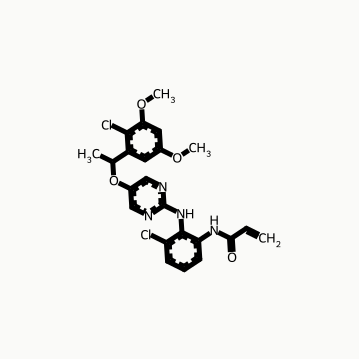 C=CC(=O)Nc1cccc(Cl)c1Nc1ncc(OC(C)c2cc(OC)cc(OC)c2Cl)cn1